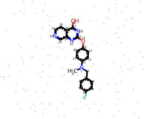 CN(Cc1ccc(F)cc1)c1ccc(Oc2nc(O)c3ccncc3n2)cc1